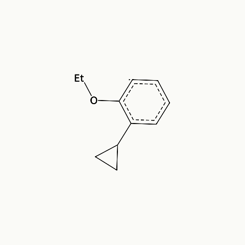 CCOc1[c]cccc1C1CC1